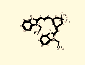 CCN1C(=CC=CC2=CC(=CC3Sc4ccccc4N3CC)CC(C)(C)C2)Sc2ccccc21